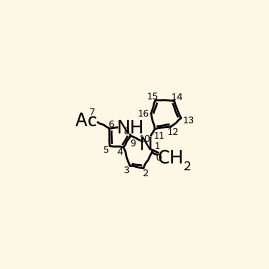 C=C1C=Cc2cc(C(C)=O)[nH]c2N1c1ccccc1